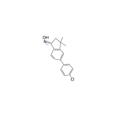 CC1(C)C/C(=N\O)c2ccc(-c3ccc(Cl)cc3)cc21